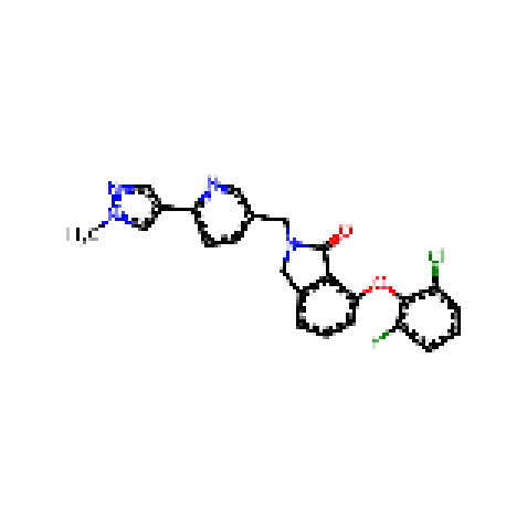 Cn1cc(-c2ccc(CN3Cc4cccc(Oc5c(F)cccc5Cl)c4C3=O)cn2)cn1